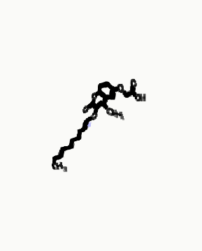 CCCCCCCC/C=C/Oc1c(O)c2cc(OCC(=O)O)ccc2oc1=O